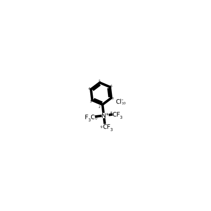 FC(F)(F)[N+](c1ccccc1)(C(F)(F)F)C(F)(F)F.[Cl-]